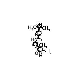 Cc1noc(C)c1-c1cnc(C(=O)Nc2ccnc(C3(C)CC(=O)NC(N)=N3)c2)cn1